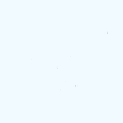 COc1ccc(Cl)cc1C(=O)/N=C1\SC(C)(C)CN1Cc1ccc(Cl)s1